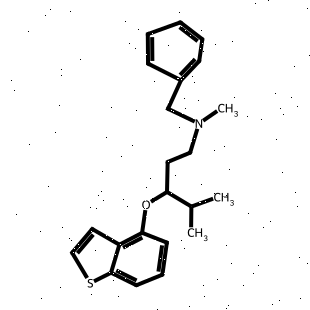 CC(C)C(CCN(C)Cc1ccccc1)Oc1cccc2sccc12